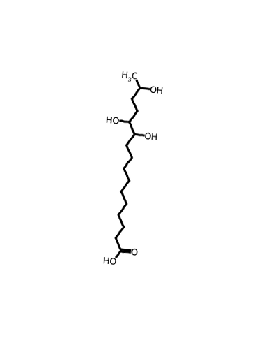 CC(O)CCC(O)C(O)CCCCCCCCCC(=O)O